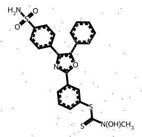 CN(O)C(=S)Sc1cccc(-c2nc(-c3ccc(S(N)(=O)=O)cc3)c(-c3ccccc3)o2)c1